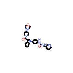 O=C(NCc1cccnc1)Nc1ccc(-n2cc(C(=O)N3CCC(N4CCOCC4)CC3)c3ccccc32)cc1